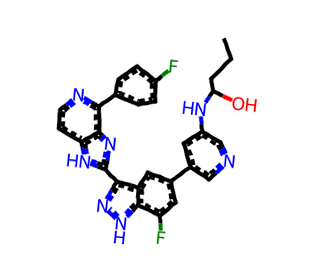 CCCC(O)Nc1cncc(-c2cc(F)c3[nH]nc(-c4nc5c(-c6ccc(F)cc6)nccc5[nH]4)c3c2)c1